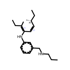 CCCNCc1cccc(NC(/C=C\[C@H](C)CC)=C(/C)CC)c1